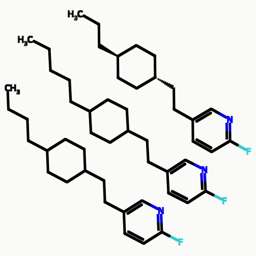 CCCCC1CCC(CCc2ccc(F)nc2)CC1.CCCCCC1CCC(CCc2ccc(F)nc2)CC1.CCC[C@H]1CC[C@H](CCc2ccc(F)nc2)CC1